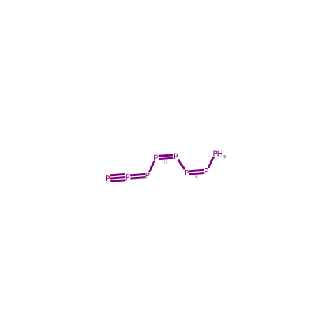 P#P=P/P=P\P=P/P